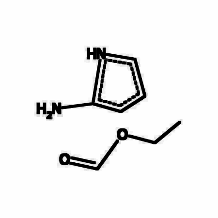 CCOC=O.Nc1ccc[nH]1